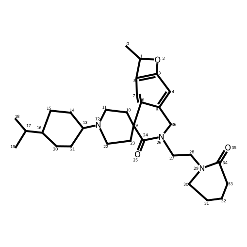 CC1Oc2cc3c(cc21)C1(CCN(C2CCC(C(C)C)CC2)CC1)C(=O)N(CCN1CCCCC1=O)C3